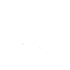 CCCCOC(=O)N(C)CCOc1ccc(C)cc1